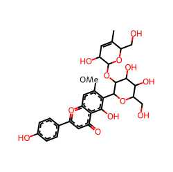 COc1cc2oc(-c3ccc(O)cc3)cc(=O)c2c(O)c1C1OC(CO)C(O)C(O)C1OC1OC(CO)C(C)=CC1O